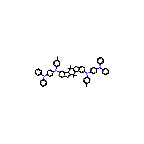 Cc1ccc(N(c2ccc(N(c3ccccc3)c3ccccc3)cc2)c2ccc3c(c2)C2=C(C3)C(C)(C)C3C(=Cc4ccc(N(c5ccc(C)cc5)c5ccc(N(c6ccccc6)c6ccccc6)cc5)cc43)C2(C)C)cc1